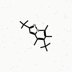 Cc1c(C(C)(C)C)c(C)c2cc(C(C)(C)C)nn2c1C